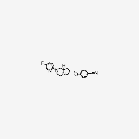 N#Cc1ccc(OC[C@H]2C[C@H]3CN(c4ncc(F)cn4)CCN3C2)cc1